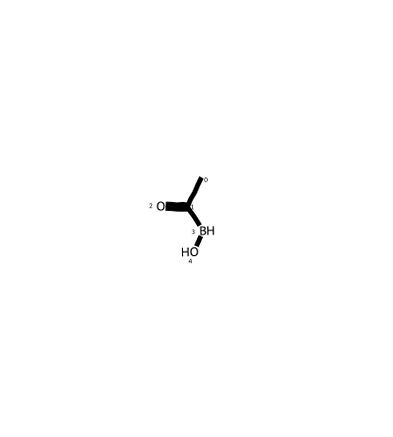 CC(=O)BO